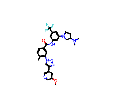 COc1cncc(-c2cn(-c3cc(C(=O)Nc4cc(N5CCC(N(C)C)C5)cc(C(F)(F)F)c4)ccc3C)nn2)c1